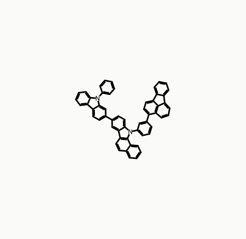 c1ccc(-n2c3ccccc3c3ccc(-c4ccc5c(c4)c4ccc6ccccc6c4n5-c4cccc(-c5ccc6c7c(cccc57)-c5ccccc5-6)c4)cc32)cc1